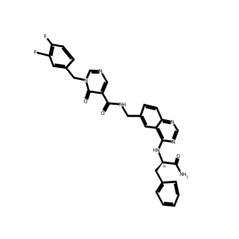 NC(=O)[C@@H](Cc1ccccc1)Nc1ncnc2ccc(CNC(=O)c3cncn(Cc4ccc(F)c(F)c4)c3=O)cc12